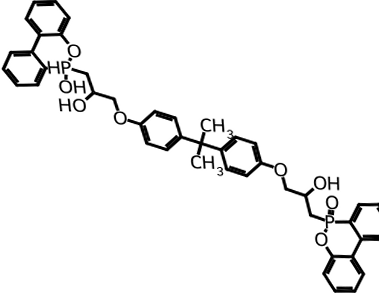 CC(C)(c1ccc(OCC(O)CP2(=O)Oc3ccccc3-c3ccccc32)cc1)c1ccc(OCC(O)C[PH]2(O)Oc3ccccc3-c3ccccc32)cc1